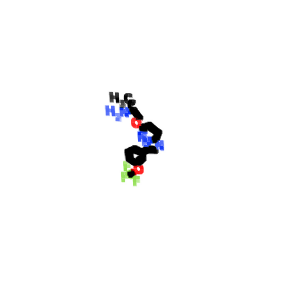 CCC(N)COc1ccc2ncc(-c3cccc(OC(F)(F)F)c3)n2n1